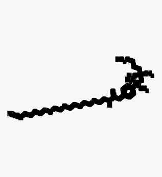 C[Si](C)(CCCC(=O)O)O[Si](C)(C)c1ccc(CC(=O)NCCOCCOCCOCCOCCOCCN=[N+]=[N-])cc1